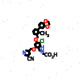 Cc1c(COc2cc(OCc3cncc(C#N)c3)c(CNCC(=O)O)cc2Cl)cccc1-c1ccc2c(c1)OCCO2